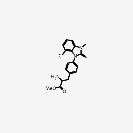 COC(=O)C(N)Cc1ccc(-n2c(=S)n(C)c3cccc(Cl)c32)cc1